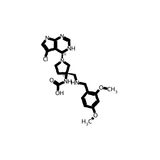 COc1ccc(CNC[C@@]2(NC(=O)O)CCN([C@@H]3NC=NC4=C3C(Cl)=C[N]4)C2)c(OC)c1